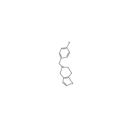 Fc1ccc(CN2CCc3sccc3C2)cc1